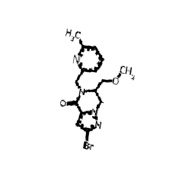 COCC1Cn2nc(Br)cc2C(=O)N1Cc1cccc(C)n1